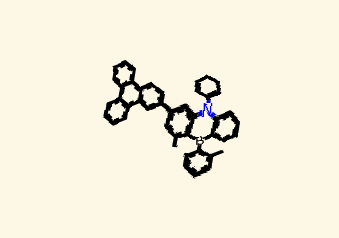 Cc1ccccc1B1c2ccccc2N(C2=CCCC=C2)c2cc(-c3ccc4c5ccccc5c5ccccc5c4c3)cc(C)c21